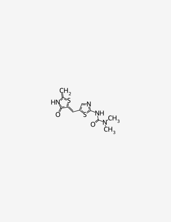 C=c1[nH]c(=O)/c(=C/c2cnc(NC(=O)N(C)C)s2)s1